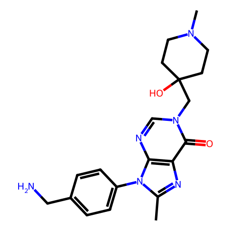 Cc1nc2c(=O)n(CC3(O)CCN(C)CC3)cnc2n1-c1ccc(CN)cc1